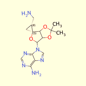 CC1(C)OC2C(n3cnc4c(N)ncnc43)O[C@]3(C[C@@H]3CN)C2O1